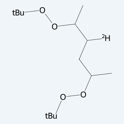 [2H]C(CC(C)OOC(C)(C)C)C(C)OOC(C)(C)C